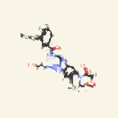 Cc1cc2c(cc1N1CCOCC1=O)[nH]/c(=N\C(=O)c1cccc(C#N)c1)n2CCCO